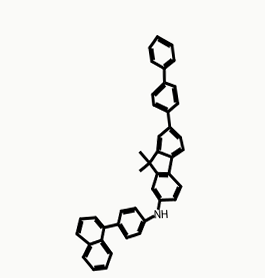 CC1(C)c2cc(Nc3ccc(-c4cccc5ccccc45)cc3)ccc2-c2ccc(-c3ccc(-c4ccccc4)cc3)cc21